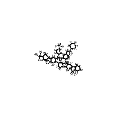 CC(C)(C)c1ccc(N2B3c4cc5cc(-c6ccccc6)oc5cc4-n4c5cc6c(cc5c5ccc(c3c54)-c3cc4oc5cc(C(C)(C)C)ccc5c4cc32)C(C)(C)c2ccccc2-6)cc1